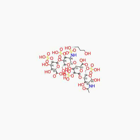 CC(=O)N[C@@H]1[C@@H](O)[C@H](O[C@@H]2O[C@H](C(=O)O)[C@@H](O[C@@H]3O[C@H](CO)[C@@H](O[C@H]4O[C@@H](C(=O)O)[C@H](O)[C@@H](O)[C@@H]4OS(=O)(=O)O)[C@H](OS(=O)(=O)O)[C@H]3NS(=O)(=O)O)[C@H](O)[C@H]2OS(=O)(=O)O)[C@H](COS(=O)(=O)O)O[C@H]1O.[CH2]CCCO